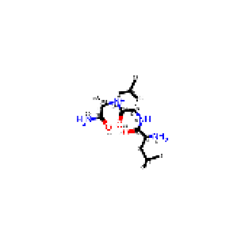 CC(C)CC(N)C(=O)N[C@@H](CC(C)C)C(=O)N[C@@H](C)C(N)=O